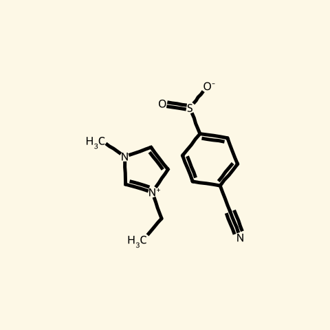 CC[n+]1ccn(C)c1.N#Cc1ccc(S(=O)[O-])cc1